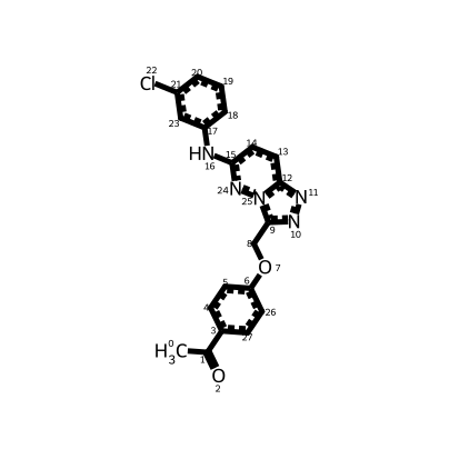 CC(=O)c1ccc(OCc2nnc3ccc(Nc4cccc(Cl)c4)nn23)cc1